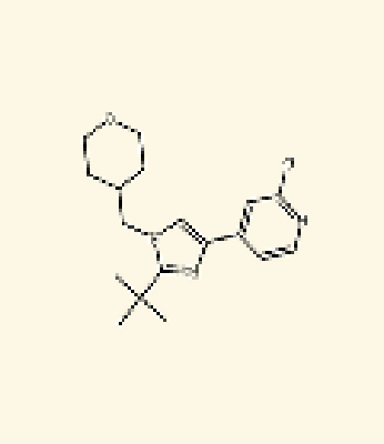 CC(C)(C)c1nc(-c2ccnc(Cl)c2)cn1CC1CCOCC1